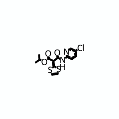 CC(C)OC(=O)C(C(=O)Nc1ccc(Cl)cn1)=C1SC=CS1